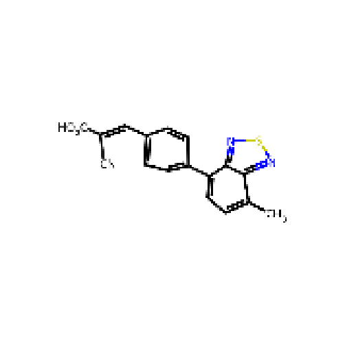 Cc1ccc(-c2ccc(/C=C(\C#N)C(=O)O)cc2)c2nsnc12